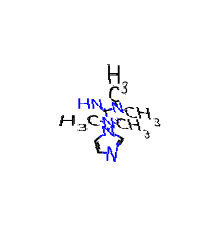 CN(C)C(=N)[N+](C)(C)n1ccnc1